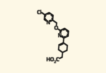 O=C(O)CC1CC=C(c2cccc(OCc3ccc(Cl)cn3)n2)CC1